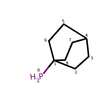 PC12CCC(CC1)CC2